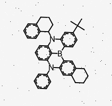 CC(C)(C)c1ccc2c(c1)N(C1CCCc3ccccc31)c1cccc3c1B2c1cc2c(cc1N3c1ccccc1)CCCC2